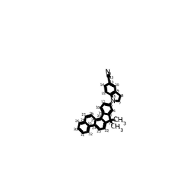 CC1(C)c2cc(N3CCc4cc(C#N)ccc43)ccc2-c2c1ccc1c2ccc2ccccc21